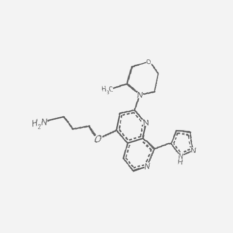 CC1COCCN1c1cc(OCCCN)c2ccnc(-c3ccn[nH]3)c2n1